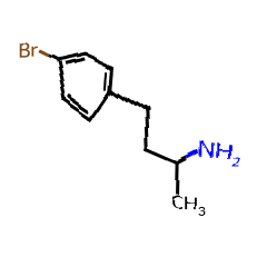 CC(N)CCc1ccc(Br)cc1